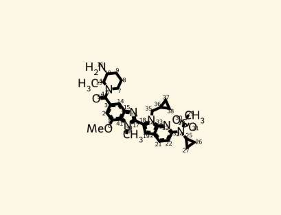 COc1cc(C(=O)N2CCC[C@@H](N)[C@H]2C)cc2nc(-c3cc4ccc(N(C5CC5)S(C)(=O)=O)nc4n3CC3CC3)n(C)c12